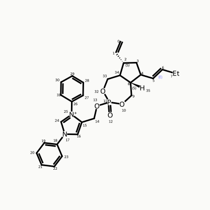 C=C[C@@H]1CC(/C=C/CC)[C@@H]2COP(=O)(OCc3cn(-c4ccccc4)c[n+]3-c3ccccc3)OCC21